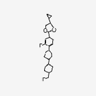 FCC1CCC(C2CCC(C3=CCC(C4OCC(C5CC5)CO4)C=C3F)CC2)CC1